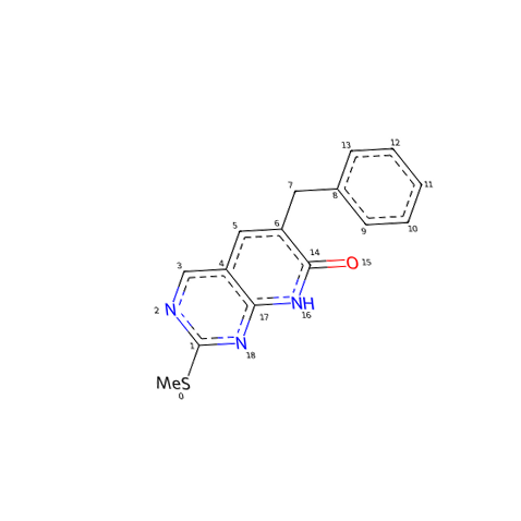 CSc1ncc2cc(Cc3ccccc3)c(=O)[nH]c2n1